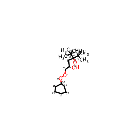 CC(C)(C)C(CCCOO[C]1CCCCC1)(OO)C(C)(C)C